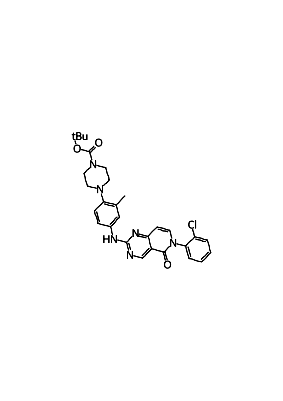 Cc1cc(Nc2ncc3c(=O)n(-c4ccccc4Cl)ccc3n2)ccc1N1CCN(C(=O)OC(C)(C)C)CC1